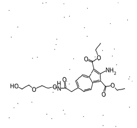 CCOC(=O)c1c2ccc(CC(=O)NOCCOCCO)ccc-2c(C(=O)OCC)c1N